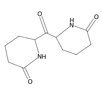 O=C1CCCC(C(=O)C2CCCC(=O)N2)N1